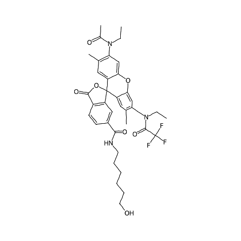 CCN(C(C)=O)c1cc2c(cc1C)C1(OC(=O)c3ccc(C(=O)NCCCCCCO)cc31)c1cc(C)c(N(CC)C(=O)C(F)(F)F)cc1O2